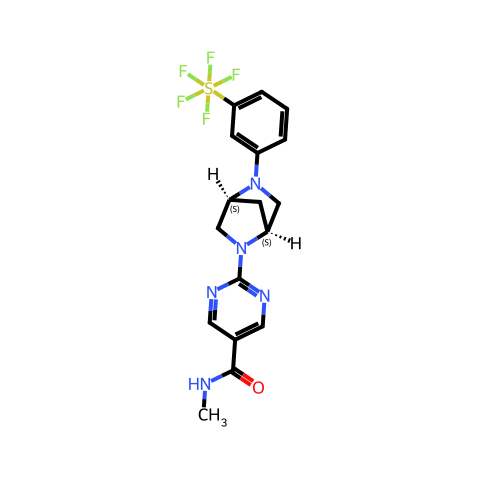 CNC(=O)c1cnc(N2C[C@@H]3C[C@H]2CN3c2cccc(S(F)(F)(F)(F)F)c2)nc1